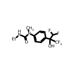 CCNC(=O)N(C)c1ccc(C(O)(C(F)F)C(F)(F)F)cc1